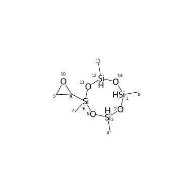 C[SiH]1O[SiH](C)O[Si](C)(C2CO2)O[SiH](C)O1